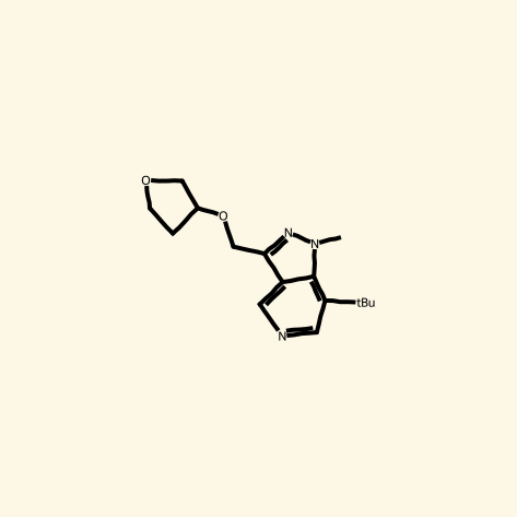 Cn1nc(COC2CCOC2)c2cncc(C(C)(C)C)c21